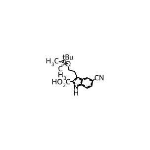 CC(C)(C)[Si](C)(C)OCCc1c(C(=O)O)[nH]c2ccc(C#N)cc12